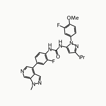 COc1ccc(-n2nc(C(C)C)cc2NC(=O)Nc2ccc(-c3cncc4c3cnn4C)cc2F)cc1F